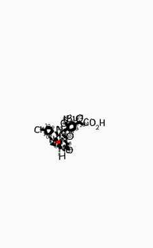 Cn1ccnc1[C@@H]1[C@H](c2ccc(Cl)cc2)N=C(c2ccc(C(=O)CC(=O)O)cc2OC(C)(C)C)N1C(=O)N1CCNC(=O)C1